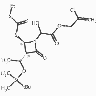 C=C(Cl)COC(=O)C(O)N1C(=O)[C@H](C(C)O[Si](C)(C)C(C)(C)C)[C@H]1SC(=S)SCC